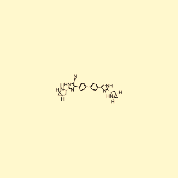 N#Cc1[nH]c([C@@H]2C[C@H]3C[C@H]3N2)nc1-c1ccc(-c2ccc(-c3c[nH]c([C@@H]4C[C@H]5C[C@H]5N4)n3)cc2)cc1